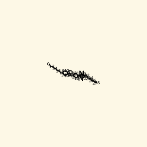 CCCCCCCCc1ccc(OC[C@H]2CC[C@H](c3ncc(CCCCCCC)cn3)CC2)cc1